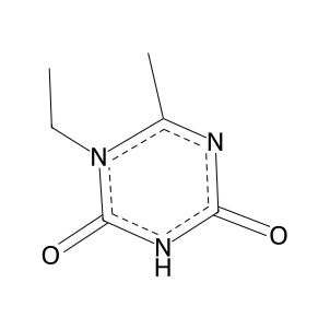 CCn1c(C)nc(=O)[nH]c1=O